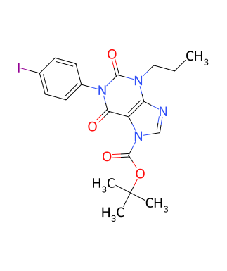 CCCn1c(=O)n(-c2ccc(I)cc2)c(=O)c2c1ncn2C(=O)OC(C)(C)C